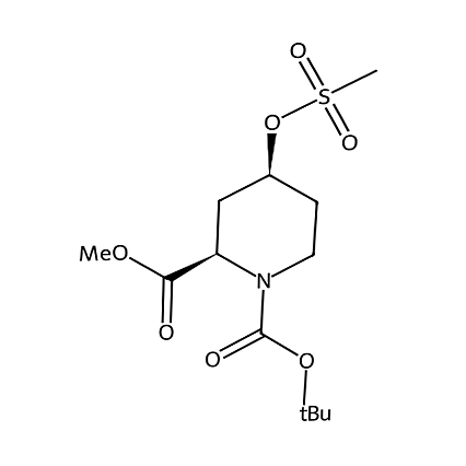 COC(=O)[C@H]1C[C@@H](OS(C)(=O)=O)CCN1C(=O)OC(C)(C)C